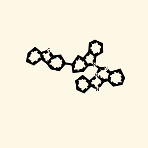 c1ccc2c(c1)nc(-n1c3ccccc3c3cc(-c4ccc5c(c4)sc4ccccc45)ccc31)n1c3ccccc3nc21